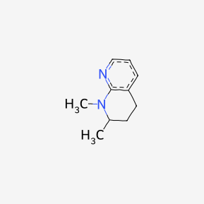 CC1CCc2cccnc2N1C